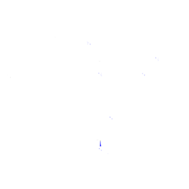 COc1ccc(-c2cc(C(=O)Nc3cc(CN4CCC[C@H](N)C4)cc(-n4cnc(C)c4)c3)ncc2C)cc1